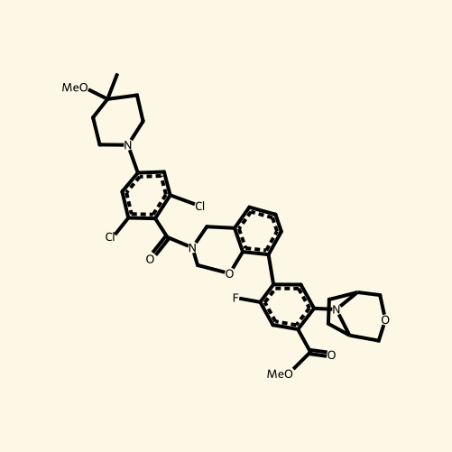 COC(=O)c1cc(F)c(-c2cccc3c2OCN(C(=O)c2c(Cl)cc(N4CCC(C)(OC)CC4)cc2Cl)C3)cc1N1C2CCC1COC2